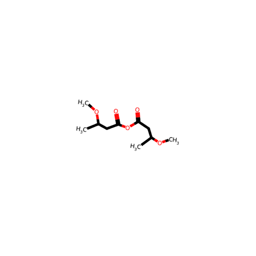 COC(C)CC(=O)OC(=O)CC(C)OC